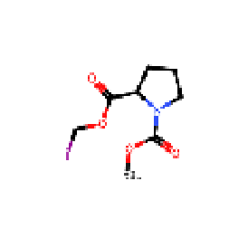 CC(C)(C)OC(=O)N1CCCC1C(=O)OCI